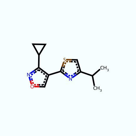 CC(C)c1csc(-c2conc2C2CC2)n1